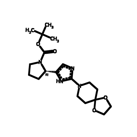 CC(C)(C)OC(=O)N1CCC[C@H]1c1cnc(N2CCC3(CC2)OCCO3)[nH]1